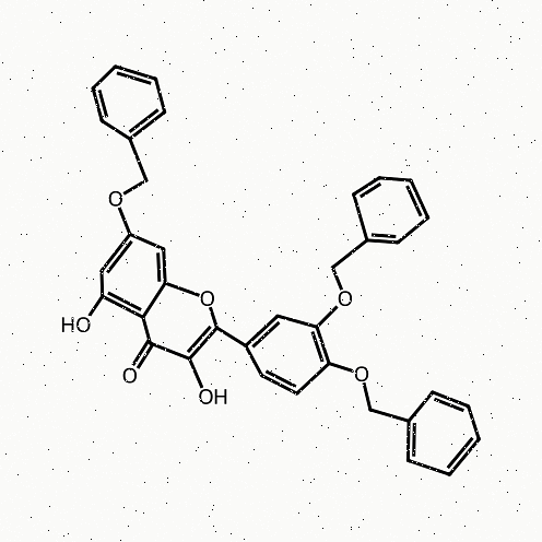 O=c1c(O)c(-c2ccc(OCc3ccccc3)c(OCc3ccccc3)c2)oc2cc(OCc3ccccc3)cc(O)c12